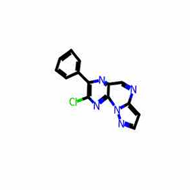 Clc1nc2c(cnc3ccnn32)nc1-c1ccccc1